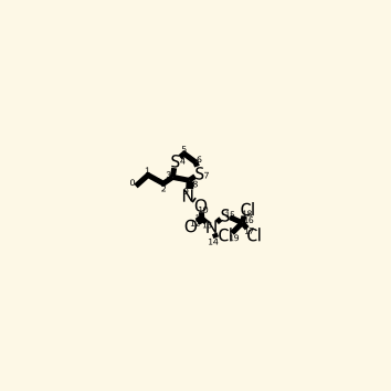 CCCC1SCCSC1=NOC(=O)N(C)SC(Cl)(Cl)Cl